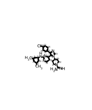 Cc1cc(C)cc(Nc2nccc(-c3c(-c4ccc(Cl)cc4)ncn3C3CCN(C(=N)N)CC3)n2)c1